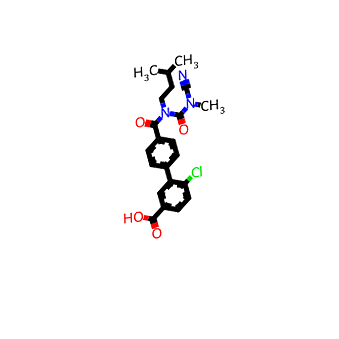 CC(C)CCN(C(=O)c1ccc(-c2cc(C(=O)O)ccc2Cl)cc1)C(=O)N(C)C#N